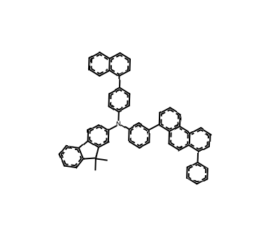 CC1(C)c2ccccc2-c2ccc(N(c3ccc(-c4cccc5ccccc45)cc3)c3cccc(-c4cccc5c4ccc4c(-c6ccccc6)cccc45)c3)cc21